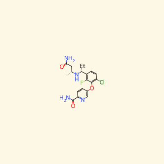 CC[C@@H](N[C@H](C)CC(N)=O)c1ccc(Cl)c(Oc2ccc(C(N)=O)nc2)c1F